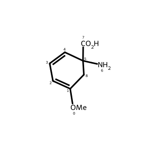 COC1=CC=CC(N)(C(=O)O)C1